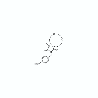 COc1ccc(CN2C(=O)N(C)C3(CCCOCCOCCC3)C2=O)cc1